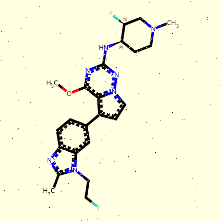 COc1nc(N[C@@H]2CCN(C)C[C@@H]2F)nn2ccc(-c3ccc4nc(C)n(CCF)c4c3)c12